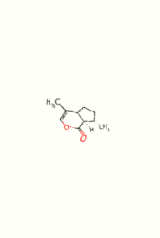 CC1=COC(=O)[C@H]2C1CC[C@@H]2C